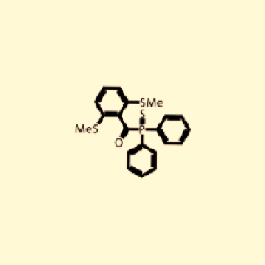 CSc1cccc(SC)c1C(=O)P(=S)(c1ccccc1)c1ccccc1